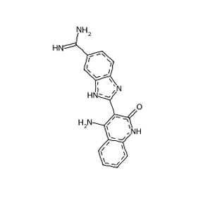 N=C(N)c1ccc2nc(-c3c(N)c4ccccc4[nH]c3=O)[nH]c2c1